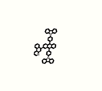 c1ccc2c(-c3ccc(-n4c5ccccc5c5ccccc54)cc3)c3cc(-c4cc5ncccc5c5ccccc45)ccc3c(-c3ccc(-n4c5ccccc5c5ccccc54)cc3)c2c1